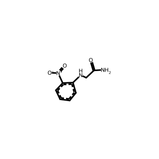 NC(=O)CNc1ccccc1[N+](=O)[O-]